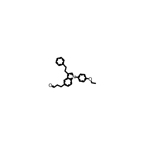 CCOc1ccc(-n2cc(CCc3ccccc3)c3cc(CCC=O)ccc32)cc1